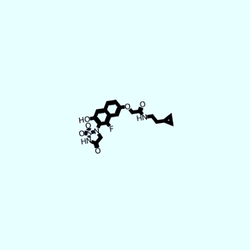 O=C(COc1ccc2cc(O)c(N3CC(=O)NS3(=O)=O)c(F)c2c1)NCCC1CC1